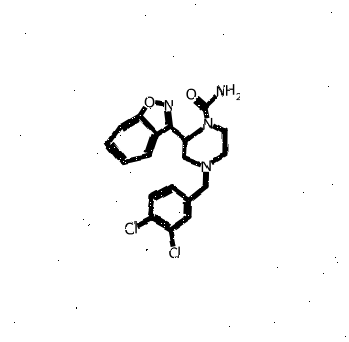 NC(=O)N1CCN(Cc2ccc(Cl)c(Cl)c2)CC1c1noc2ccccc12